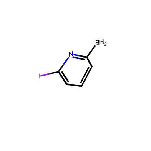 Bc1cccc(I)n1